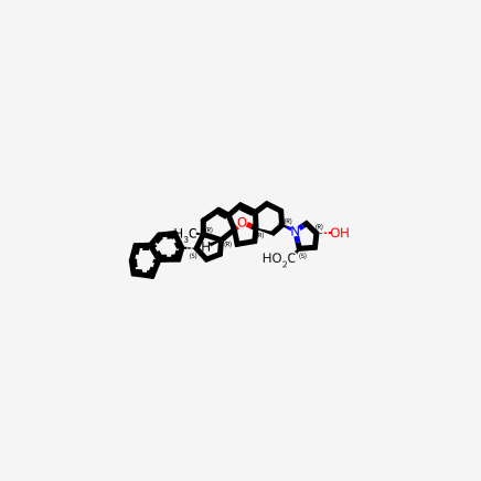 C[C@]12CC=C3C=C4CC[C@@H](N5C[C@H](O)C[C@H]5C(=O)O)C[C@]45CCC3(O5)[C@@H]1CC[C@@H]2c1ccc2ccccc2c1